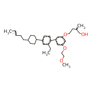 C=C(CO)CCOc1cc(OCCOC)cc(-c2ccc(C3CCC(CC/C=C/C)CC3)cc2CC)c1